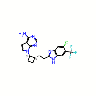 Nc1ncnc2c1ccn2[C@@H]1C[CH][C@H]1CCc1nc2cc(Cl)c(C(F)(F)F)cc2[nH]1